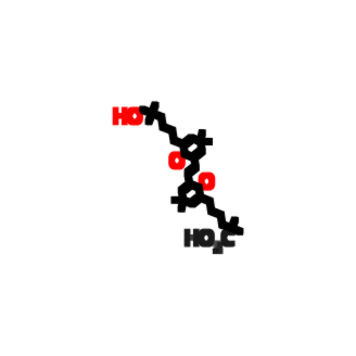 CC1(C)C=C(C=CC2=CC(C)(C)C=C(CCCCC(C)(C)C(=O)O)C2=O)C(=O)C(CCCCC(C)(C)CO)=C1